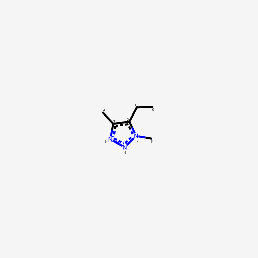 [CH2]Cc1c(C)nnn1C